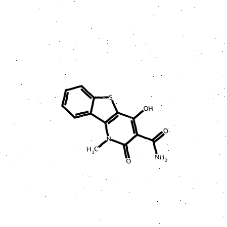 Cn1c(=O)c(C(N)=O)c(O)c2sc3ccccc3c21